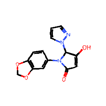 O=C1[C]=C(O)C(n2cccn2)N1c1ccc2c(c1)OCO2